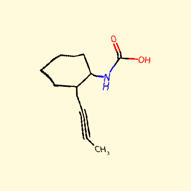 CC#CC1CCCCC1NC(=O)O